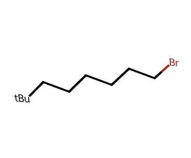 CC(C)(C)CCCCCCBr